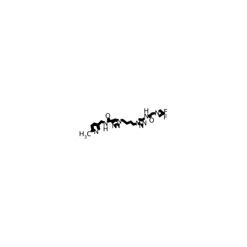 Cc1ccc(CNC(=O)c2cn(CCCCn3cc(NC(=O)CN4CC(F)(F)C4)nn3)nn2)cn1